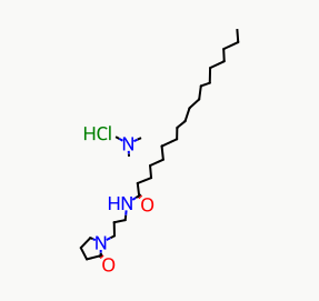 CCCCCCCCCCCCCCCCCC(=O)NCCCN1CCCC1=O.CN(C)C.Cl